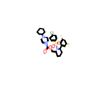 O=C(OCC1CCCC(c2cc(F)cc(F)c2)N1S(=O)(=O)c1ccc(Cl)cc1)N1CCN(C2CCCCC2)CC1